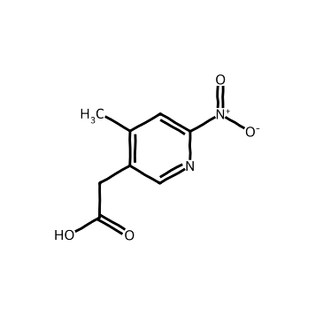 Cc1cc([N+](=O)[O-])ncc1CC(=O)O